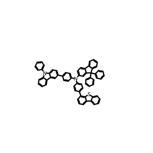 c1ccc(-n2c3ccccc3c3cc(-c4ccc(N(c5ccc(-c6cccc7c6sc6ccccc67)cc5)c5ccc6c(c5)C(c5ccccc5)(c5ccccc5)c5ccccc5-6)cc4)ccc32)cc1